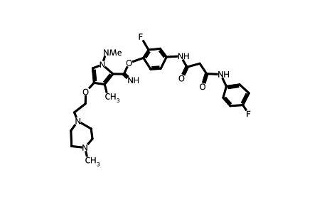 CNn1cc(OCCN2CCN(C)CC2)c(C)c1C(=N)Oc1ccc(NC(=O)CC(=O)Nc2ccc(F)cc2)cc1F